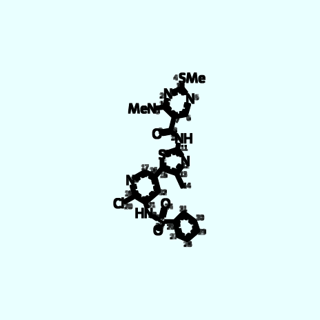 CNc1nc(SC)ncc1C(=O)Nc1nc(C)c(-c2cnc(Cl)c(NS(=O)(=O)c3ccccc3)c2)s1